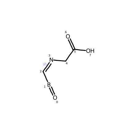 O=B/C=N\CC(=O)O